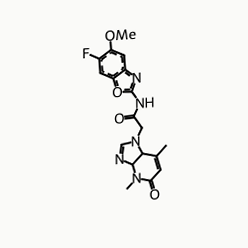 COc1cc2nc(NC(=O)CN3C=NC4C3C(C)=CC(=O)N4C)oc2cc1F